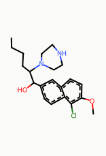 CCCCC(C(O)c1ccc2c(Cl)c(OC)ccc2c1)N1CCNCC1